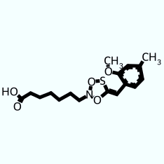 COc1cc(C)ccc1/C=C1/ON(CCCCCCC(=O)O)OS1